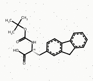 CC(C)(C)OC(=O)N[C@H](Cc1ccc2c(c1)Cc1ccccc1-2)C(=O)O